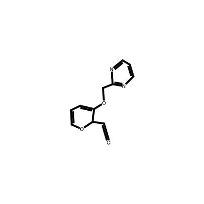 O=[C]C1OC=CC=C1OCc1ncccn1